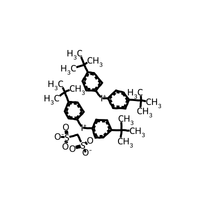 CC(C)(C)c1ccc([I+]c2ccc(C(C)(C)C)cc2)cc1.CC(C)(C)c1ccc([I+]c2ccc(C(C)(C)C)cc2)cc1.O=S(=O)([O-])CS(=O)(=O)[O-]